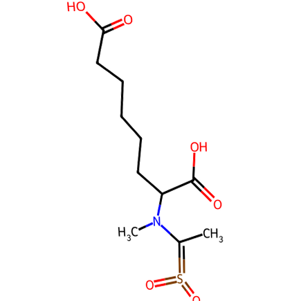 CC(N(C)C(CCCCCC(=O)O)C(=O)O)=S(=O)=O